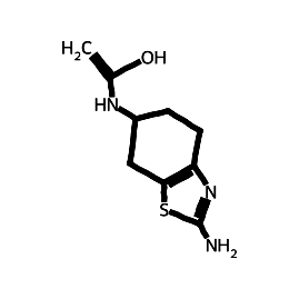 C=C(O)NC1CCc2nc(N)sc2C1